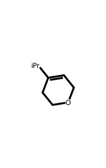 CC(C)C1=CCOCC1